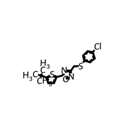 CC(C)(C)c1ccc(-c2nc(CSc3ccc(Cl)cc3)no2)s1